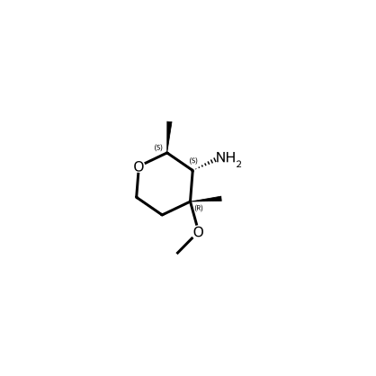 CO[C@]1(C)CCO[C@@H](C)[C@@H]1N